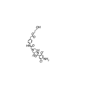 COc1cc(N)c(Cl)cc1C(=O)N[C@@H]1CCN(CC(=O)Nc2ccc(CC(=O)OCCCO)cc2)C[C@@H]1OC